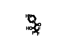 O=C(C(O)C(F)(F)F)N1CCNCC1